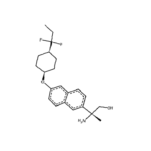 CCC(F)(F)[C@H]1CC[C@@H](Oc2ccc3cc([C@@](C)(N)CO)ccc3c2)CC1